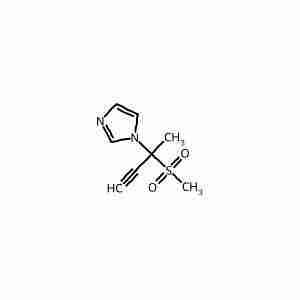 C#CC(C)(n1ccnc1)S(C)(=O)=O